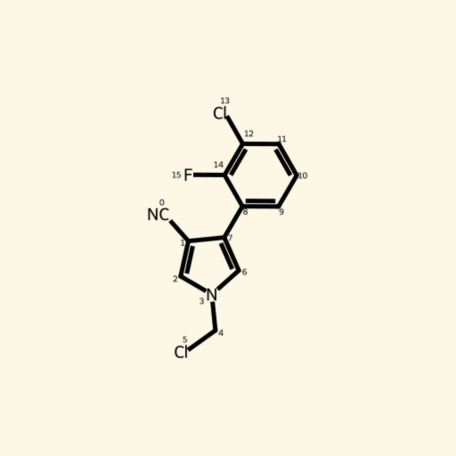 N#Cc1cn(CCl)cc1-c1cccc(Cl)c1F